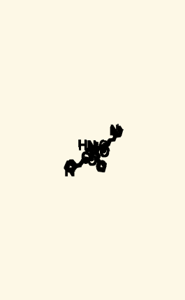 CC1=C(C(=O)OCCCc2cccnc2)C(CCc2ccccc2)C(C(=O)OCCCc2cccnc2)=C(C)N1